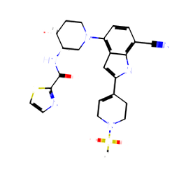 CS(=O)(=O)N1CC=C(c2cc3c(N4CC[C@@H](O)[C@H](NC(=O)c5nccs5)C4)ccc(C#N)c3[nH]2)CC1